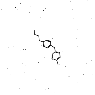 CCCCc1ccc(Cc2ccc(C)cc2)cc1